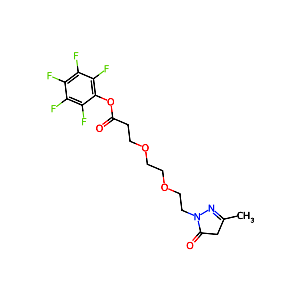 CC1=NN(CCOCCOCCC(=O)Oc2c(F)c(F)c(F)c(F)c2F)C(=O)C1